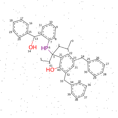 CCCC(CC)(Pc1ccccc1C(O)c1ccccc1)c1cc(Cc2ccccc2)cc(Cc2ccccc2)c1O